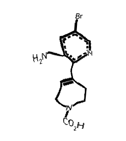 Nc1cc(Br)cnc1C1=CCN(C(=O)O)CC1